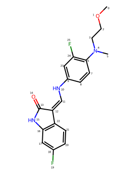 COCCN(C)c1ccc(NC=C2C(=O)Nc3cc(F)ccc32)cc1F